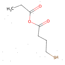 CCC(=O)OC(=O)CCCS